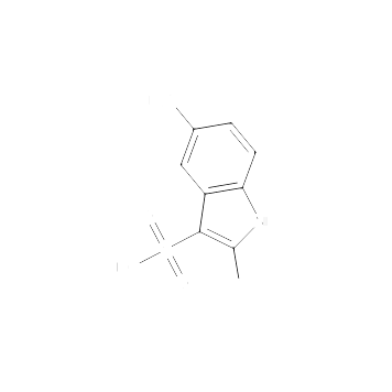 Cc1ccc2[nH]c(C)c(S(=O)(=O)O)c2c1